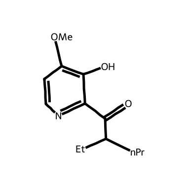 CCCC(CC)C(=O)c1nccc(OC)c1O